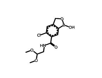 COC(CNC(=O)c1cc2c(cc1Cl)COB2O)OC